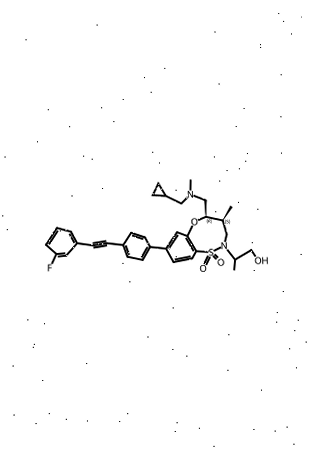 CC(CO)N1C[C@H](C)[C@H](CN(C)CC2CC2)Oc2cc(-c3ccc(C#Cc4cccc(F)c4)cc3)ccc2S1(=O)=O